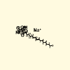 CCCCCCCCC=CCCCCCCCC(=O)C(O)(C(=O)OC)C(O)C(=O)[O-].[Na+]